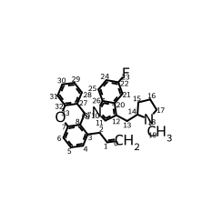 C=CCc1cccc2c1[C@@H](n1cc(CC3CCCN3C)c3cc(F)ccc31)c1ccccc1O2